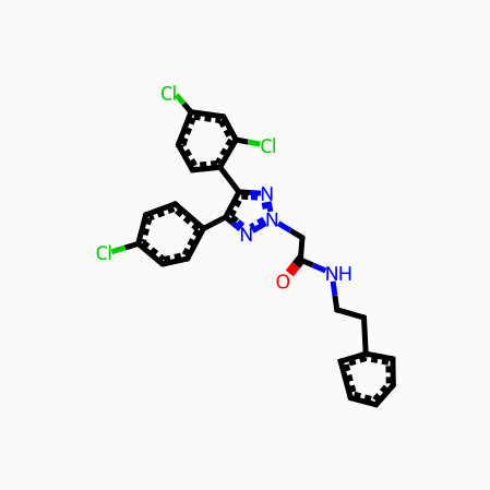 O=C(Cn1nc(-c2ccc(Cl)cc2)c(-c2ccc(Cl)cc2Cl)n1)NCCc1ccccc1